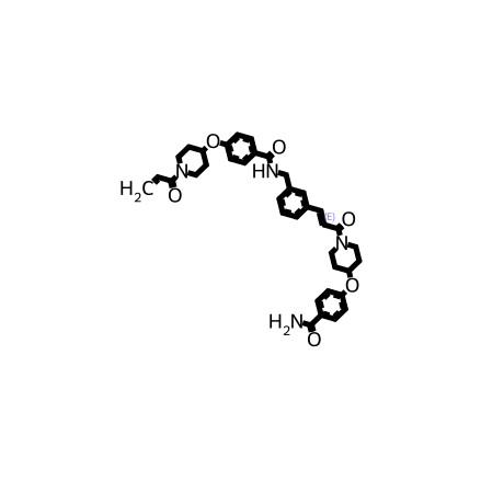 C=CC(=O)N1CCC(Oc2ccc(C(=O)NCc3cccc(/C=C/C(=O)N4CCC(Oc5ccc(C(N)=O)cc5)CC4)c3)cc2)CC1